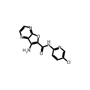 Nc1c(C(=O)Nc2ccc(Cl)cn2)oc2nccnc12